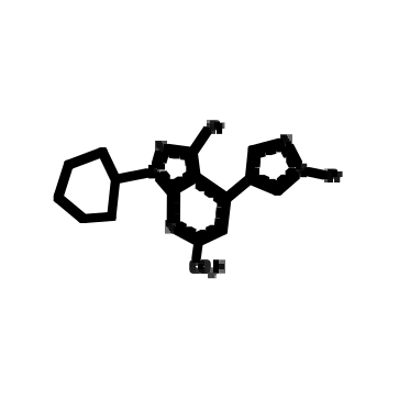 CC(C)c1nn(C2CCCCC2)c2nc(C(=O)O)cc(-c3cnn(C(C)C)c3)c12